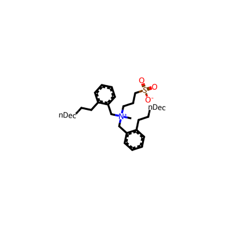 CCCCCCCCCCCCc1ccccc1C[N+](C)(CCCS(=O)(=O)[O-])Cc1ccccc1CCCCCCCCCCCC